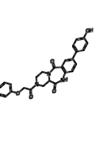 O=C1Nc2ccc(-c3ccc(O)cc3)cc2C(=O)N2CCN(C(=O)COc3ccccc3)CC12